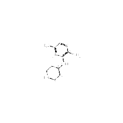 Cc1ccc(N)c(NC2CCNCC2)n1